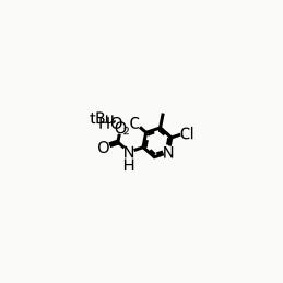 Cc1c(Cl)ncc(NC(=O)OC(C)(C)C)c1C(=O)O